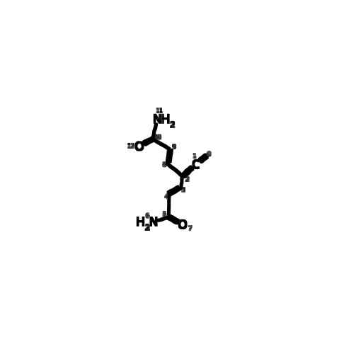 C=C=C(C=CC(N)=O)C=CC(N)=O